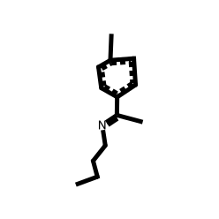 CCCC/N=C(\C)c1ccc(C)cc1